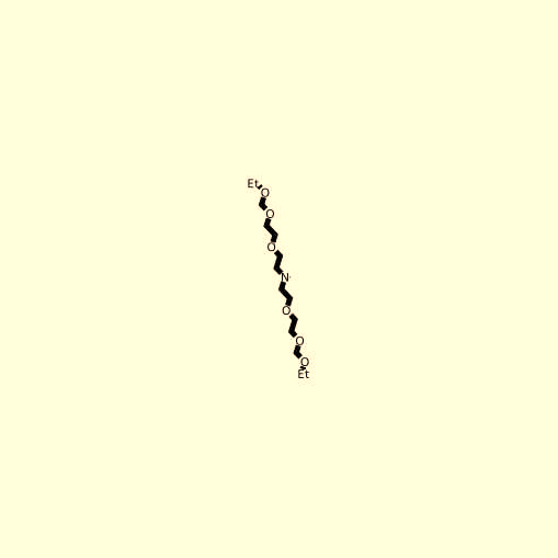 CCOCOCCOCC[N]CCOCCOCOCC